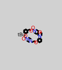 CC(C)(C)OC(=O)N1CCN(CCOc2cccc(N3CCOC4(CCN(C(=O)OCc5ccccc5)CC4)C3)c2)CC1